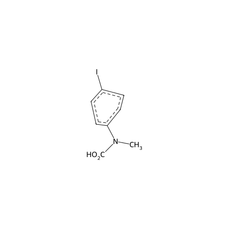 CN(C(=O)O)c1ccc(I)cc1